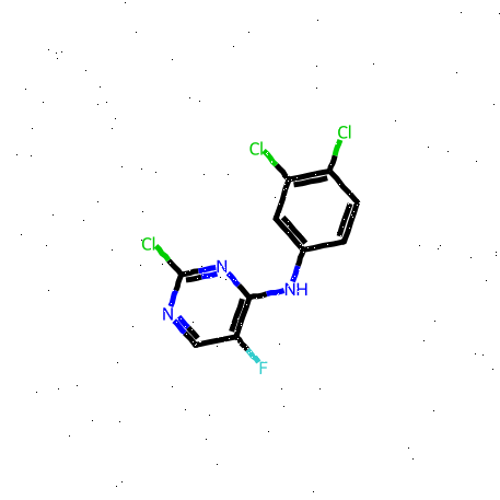 Fc1cnc(Cl)nc1Nc1ccc(Cl)c(Cl)c1